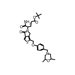 CC1CN(Cc2ccc(OCc3scc4c3CN(C(CCC(=O)OC(C)(C)C)C(N)=O)C4=O)cc2)CC(C)O1